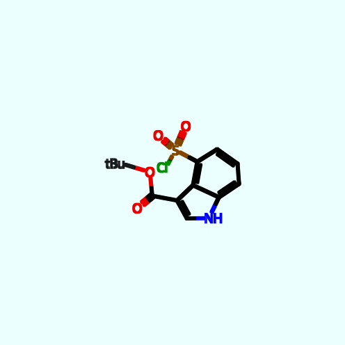 CC(C)(C)OC(=O)c1c[nH]c2cccc(S(=O)(=O)Cl)c12